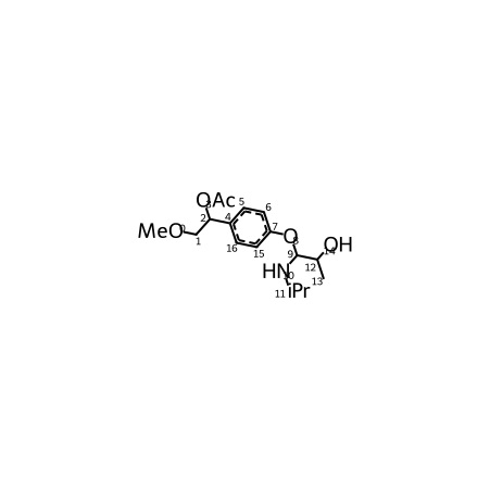 COCC(OC(C)=O)c1ccc(OC(NC(C)C)C(C)O)cc1